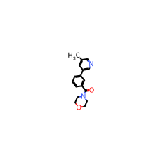 Cc1cncc(-c2cccc(C(=O)N3CCOCC3)c2)c1